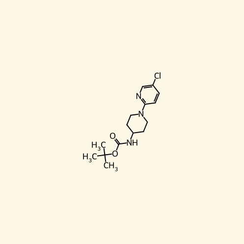 CC(C)(C)OC(=O)NC1CCN(c2ccc(Cl)cn2)CC1